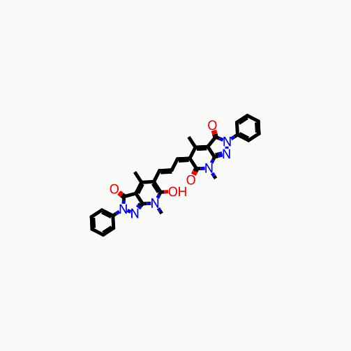 Cc1c(C=CC=c2c(C)c3c(n(C)c2=O)=NN(c2ccccc2)C3=O)c(O)n(C)c2nn(-c3ccccc3)c(=O)c1-2